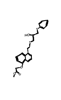 COC(=O)COc1cccc2c(CCSCC(O)CSc3ccccc3)cccc12